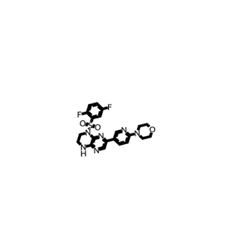 O=S(=O)(c1cc(F)ccc1F)N1CCNc2ncc(-c3ccc(N4CCOCC4)nc3)nc21